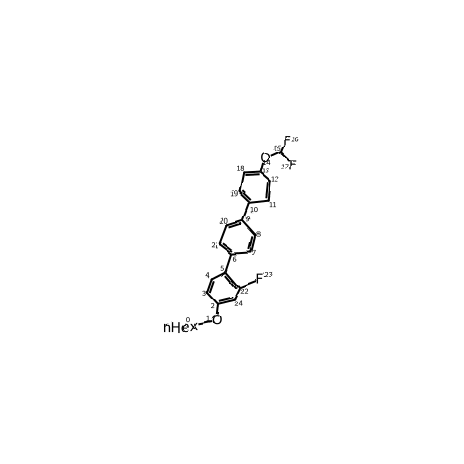 CCCCCCOc1ccc(-c2ccc(-c3ccc(OC(F)F)cc3)cc2)c(F)c1